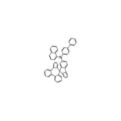 c1ccc(-c2ccc(N(c3ccc4c(c3)C3(c5ccccc5-c5ccccc5-c5ccccc53)c3ccccc3-4)c3cccc4ccccc34)cc2)cc1